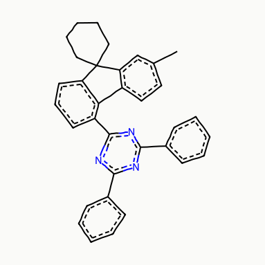 Cc1ccc2c(c1)C1(CCCCC1)c1cccc(-c3nc(-c4ccccc4)nc(-c4ccccc4)n3)c1-2